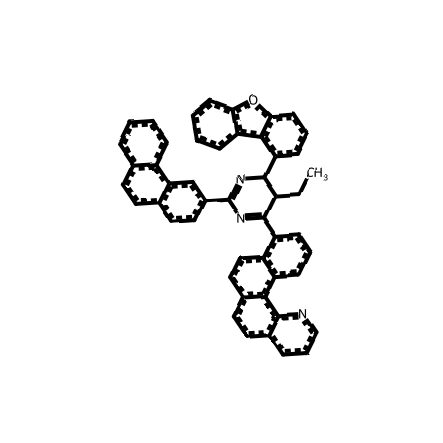 CCC1C(c2cccc3c2ccc2ccc4cccnc4c23)=NC(c2ccc3ccc4ccccc4c3c2)=NC1c1cccc2oc3ccccc3c12